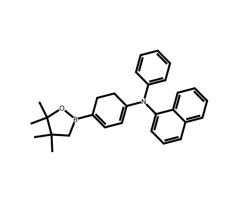 CC1(C)CB(C2=CC=C(N(c3ccccc3)c3cccc4ccccc34)CC2)OC1(C)C